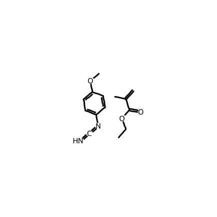 C=C(C)C(=O)OCC.COc1ccc(N=C=N)cc1